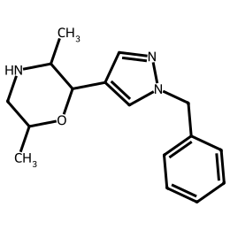 CC1CNC(C)C(c2cnn(Cc3ccccc3)c2)O1